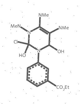 CCOC(=O)c1cccc(N2C(O)C(NC)=C(NC)N(NC)C2(O)Cl)c1